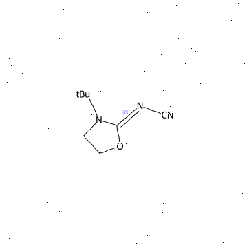 CC(C)(C)N1CCO/C1=N\C#N